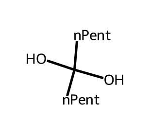 CCCCCC(O)(O)CCCCC